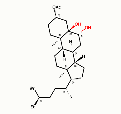 CC[C@H](CC[C@@H](C)[C@H]1CC[C@H]2[C@@H]3C[C@@H](O)[C@@]4(O)C[C@@H](OC(C)=O)CC[C@]4(C)[C@H]3CC[C@]12C)C(C)C